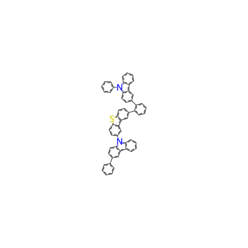 c1ccc(-c2ccc3c(c2)c2ccccc2n3-c2ccc3sc4ccc(-c5ccccc5-c5ccc6c(c5)c5ccccc5n6-c5ccccc5)cc4c3c2)cc1